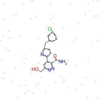 NC(=O)c1nnc(CO)cc1-c1ccc(Cc2cccc(Cl)c2)cn1